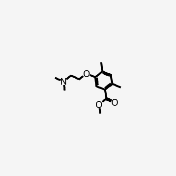 COC(=O)c1cc(OCCN(C)C)c(C)cc1C